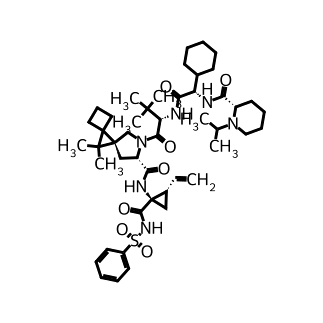 C=C[C@@H]1C[C@]1(NC(=O)[C@@H]1C[C@@]2(CN1C(=O)[C@@H](NC(=O)[C@@H](NC(=O)[C@@H]1CCCCN1C(C)C)C1CCCCC1)C(C)(C)C)C(C)(C)C21CCC1)C(=O)NS(=O)(=O)c1ccccc1